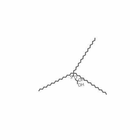 CCCCCCCCCCCCCCCCCCCC(CCCCCCCCCCCCCCCCCC)(CCCCCCCCCCCCCCCCCC)C(=S)OCC(O)CO